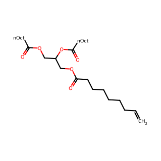 C=CCCCCCCC(=O)OCC(COC(=O)CCCCCCCC)OC(=O)CCCCCCCC